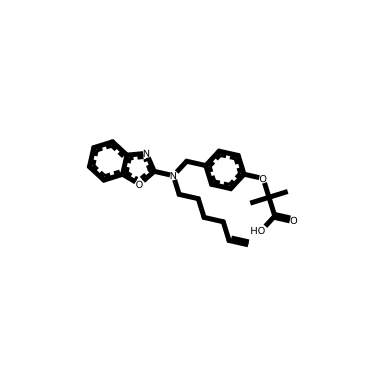 C=CCCCCN(Cc1ccc(OC(C)(C)C(=O)O)cc1)c1nc2ccccc2o1